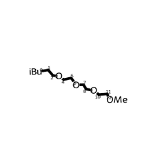 CCC(C)CCOCCOCCOCCOC